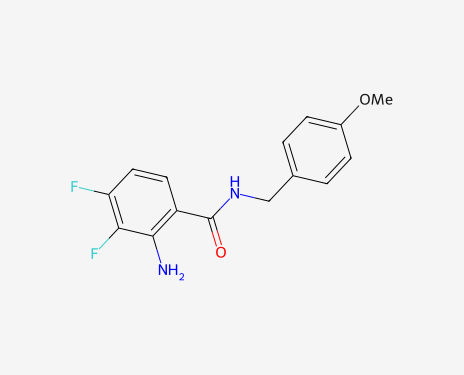 COc1ccc(CNC(=O)c2ccc(F)c(F)c2N)cc1